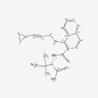 CC(C)(C)[C@H](NC(=O)c1ccc2ccccc2c1OCC#CC1CC1)C(=O)O